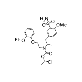 CCOc1ccccc1OCCN(C(=O)OC(C)Cl)C(C)Cc1ccc(OC)c(S(N)(=O)=O)c1